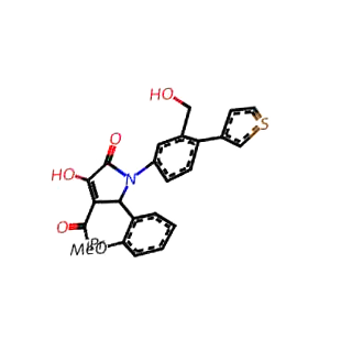 COc1ccccc1C1C(C(=O)C(C)C)=C(O)C(=O)N1c1ccc(-c2ccsc2)c(CO)c1